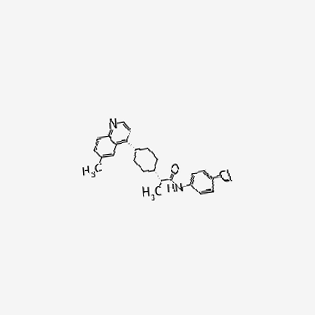 Cc1ccc2nccc([C@H]3CC[C@@H](C(C)C(=O)Nc4ccc(Cl)cc4)CC3)c2c1